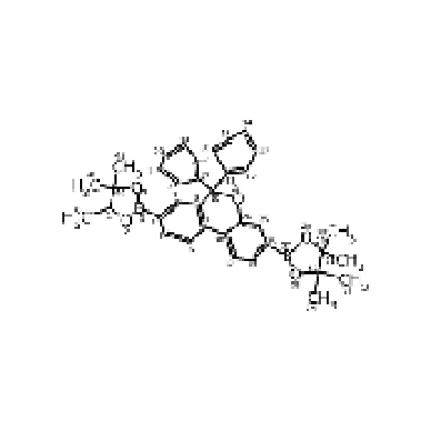 CC1OB(c2ccc3c(c2)C(c2ccccc2)(c2ccccc2)Oc2cc(B4OC(C)(C)C(C)(C)O4)ccc2-3)OC1(C)C